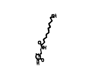 O=C(CCCCCCCCCCS)NCCN1CCNC1=O